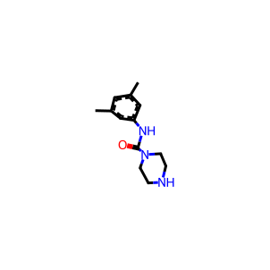 Cc1cc(C)cc(NC(=O)N2CCNCC2)c1